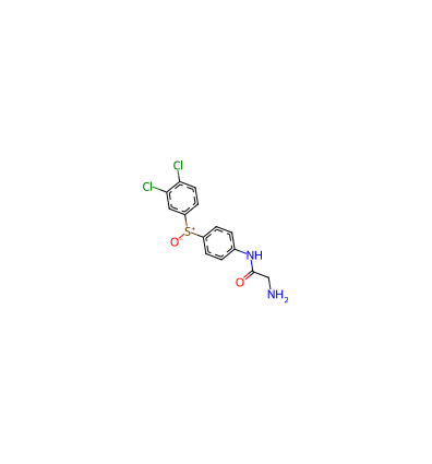 NCC(=O)Nc1ccc([S+]([O-])c2ccc(Cl)c(Cl)c2)cc1